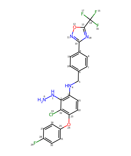 NNc1c(NCc2ccc(-c3noc(C(F)(F)F)n3)cc2)ccc(Oc2ccc(F)cc2)c1Cl